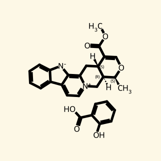 COC(=O)C1=CO[C@@H](C)[C@H]2C[n+]3ccc4c([n-]c5ccccc54)c3C[C@H]12.O=C(O)c1ccccc1O